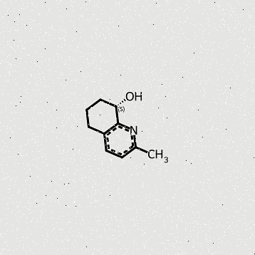 Cc1ccc2c(n1)[C@@H](O)CCC2